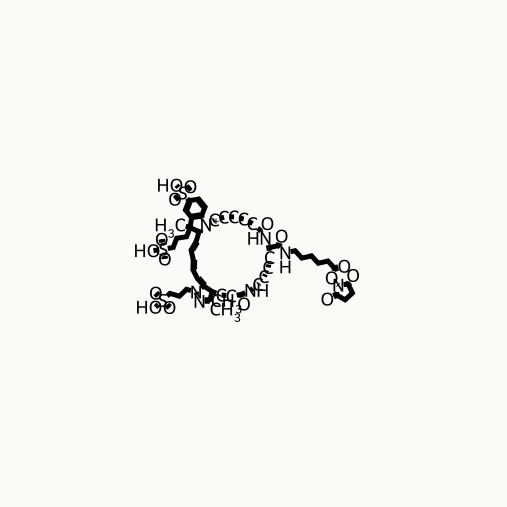 CC1=NN(CCCS(=O)(=O)O)/C2=C/C=C/C=C/C3=[N+](CCCCCC(=O)NC(C(=O)NCCCCCC(=O)ON4C(=O)CCC4=O)CCCCNC(=O)CCC12C)c1ccc(S(=O)(=O)O)cc1C3(C)CCCS(=O)(=O)O